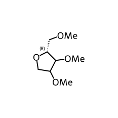 COC[C@H]1OCC(OC)C1OC